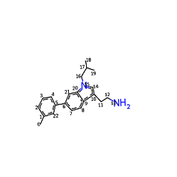 Cc1cccc(-c2ccc3c(CCN)cn(CC(C)C)c3c2)c1